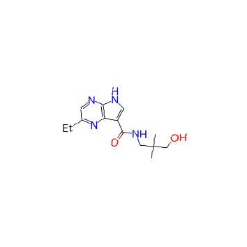 CCc1cnc2[nH]cc(C(=O)NCC(C)(C)CO)c2n1